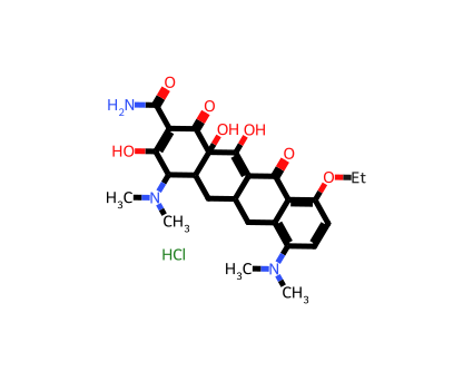 CCOc1ccc(N(C)C)c2c1C(=O)C1=C(O)C3(O)C(=O)C(C(N)=O)=C(O)C(N(C)C)C3CC1C2.Cl